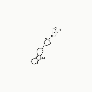 c1ccc2c3c([nH]c2c1)CN(c1ccc(N2C[C@@H]4OCC42)nc1)CC3